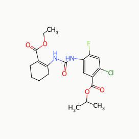 CCOC(=O)C1=C(NC(=O)Nc2cc(C(=O)OC(C)C)c(Cl)cc2F)CCCC1